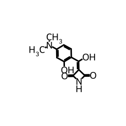 CN(C)c1ccc(C(O)=C2C(=O)NC2=O)c(O)c1